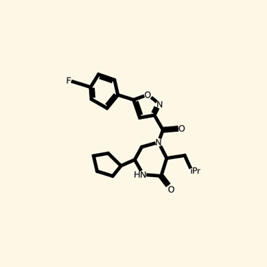 CC(C)CC1C(=O)NC(C2CCCC2)CN1C(=O)c1cc(-c2ccc(F)cc2)on1